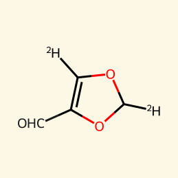 [2H]C1=C(C=O)OC([2H])O1